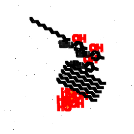 CCCCCCCCCCCCC.CCCCCCCCCCCCC.CCCCCCCCCCCCC.CCCCCCCCCCCCC.CCCCCCCCCCCCC.CCCCCCCCCCCCC.Cc1ccc(C(C)(C)C)c(O)c1.Cc1ccc(C(C)(C)C)c(O)c1.Cc1ccc(C(C)(C)C)c(O)c1.OP(O)O.OP(O)O